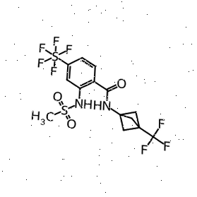 CS(=O)(=O)Nc1cc(S(F)(F)(F)(F)F)ccc1C(=O)NC12CC(C(F)(F)F)(C1)C2